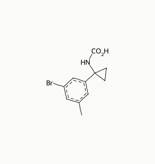 Cc1cc(Br)cc(C2(NC(=O)O)CC2)c1